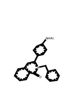 CC(=O)Nc1ccc(-c2cc3ccccc3c(=O)n2Cc2ccccc2)cc1